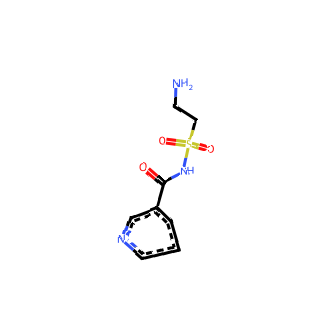 NCCS(=O)(=O)NC(=O)c1cccnc1